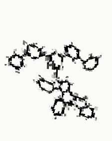 c1ccc(-c2cccc(-c3cc(-c4cccc(-c5ccccc5)c4)nc(-n4c5ccccc5c5c6c7ccccc7n7c8ccccc8cc7c6ccc54)n3)c2)cc1